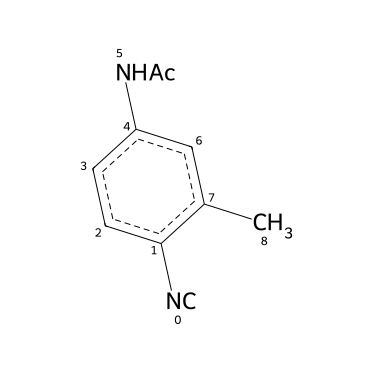 [C-]#[N+]c1ccc(NC(C)=O)cc1C